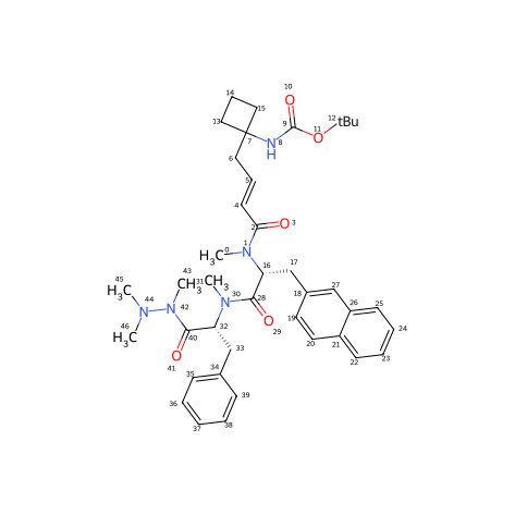 CN(C(=O)C=CCC1(NC(=O)OC(C)(C)C)CCC1)[C@H](Cc1ccc2ccccc2c1)C(=O)N(C)[C@H](Cc1ccccc1)C(=O)N(C)N(C)C